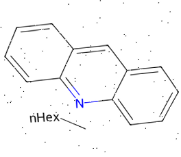 CCCCCCC.c1ccc2nc3ccccc3cc2c1